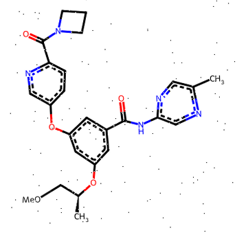 COC[C@H](C)Oc1cc(Oc2ccc(C(=O)N3CCC3)nc2)cc(C(=O)Nc2cnc(C)cn2)c1